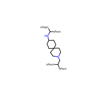 CCCCCCCC(CCCCC)NC1CCC2(CC1)CCN(CC(CCCCC)CCCCC)CC2